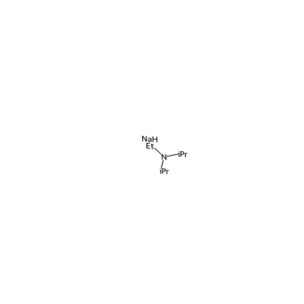 [CH2]CN(C(C)C)C(C)C.[NaH]